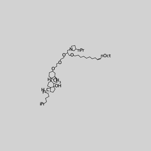 CCCCCCCC/C=C\CCCCCCCCOCC(CN1CCC(CCC)C1)OCCOCCOC1CCC2(C)C(=CCC3[C@@H]2CCC2(C)[C@@H](C(F)CCCC(C)C)CCC32O)C1